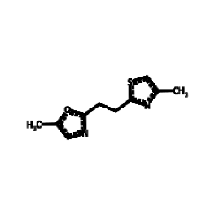 Cc1csc(CCc2ncc(C)o2)n1